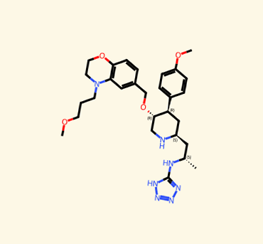 COCCCN1CCOc2ccc(CO[C@H]3CN[C@H](C[C@H](C)Nc4nnn[nH]4)C[C@@H]3c3ccc(OC)cc3)cc21